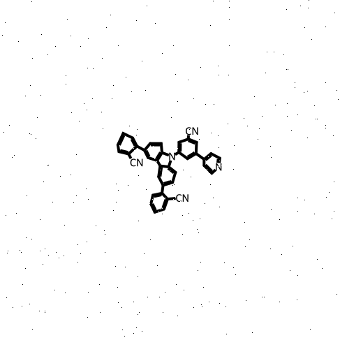 N#Cc1cc(-c2ccncc2)cc(-n2c3ccc(-c4ccccc4C#N)cc3c3cc(-c4ccccc4C#N)ccc32)c1